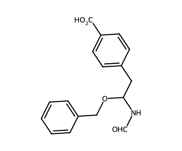 O=CNC(Cc1ccc(C(=O)O)cc1)OCc1ccccc1